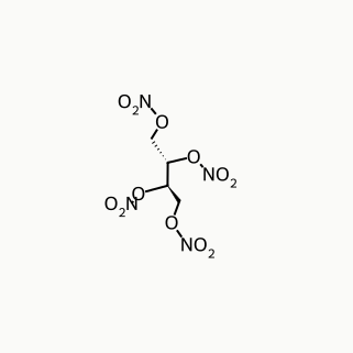 O=[N+]([O-])OC[C@H](O[N+](=O)[O-])[C@@H](CO[N+](=O)[O-])O[N+](=O)[O-]